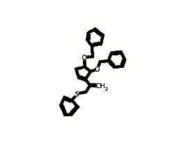 C=C(CSc1ccccc1)C1=CCC(OCc2ccccc2)C1OCc1ccccc1